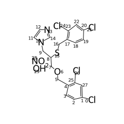 Clc1ccc(COCC(Cn2ccnc2)SCc2ccc(Cl)cc2Cl)c(Cl)c1.O=[N+]([O-])O